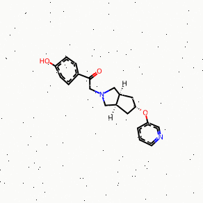 O=C(CN1C[C@H]2C[C@H](Oc3cccnc3)C[C@H]2C1)c1ccc(O)cc1